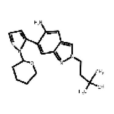 CC(C)(O)CCn1cc2cc(N)c(-c3ccnn3C3CCCCO3)cc2n1